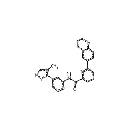 Cn1cnnc1-c1cccc(NC(=O)c2cccc(-c3ccc4ncccc4c3)n2)c1